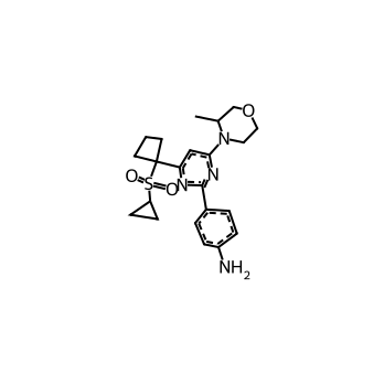 CC1COCCN1c1cc(C2(S(=O)(=O)C3CC3)CCC2)nc(-c2ccc(N)cc2)n1